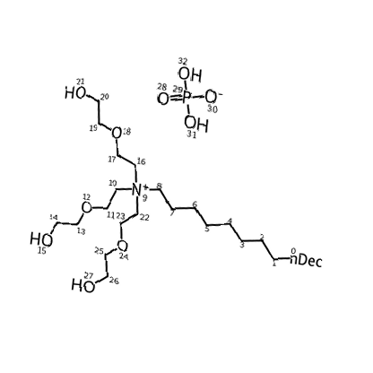 CCCCCCCCCCCCCCCCCC[N+](CCOCCO)(CCOCCO)CCOCCO.O=P([O-])(O)O